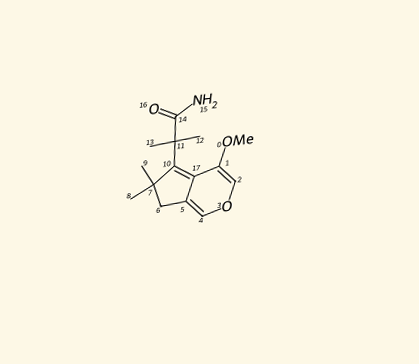 COC1=COC=C2CC(C)(C)C(C(C)(C)C(N)=O)=C21